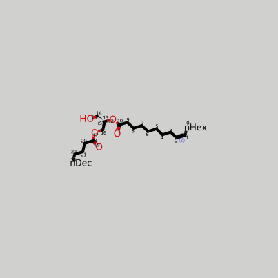 CCCCCC/C=C\CCCCCCCC(=O)O[C@@H](CO)COC(=O)CCCCCCCCCCCCC